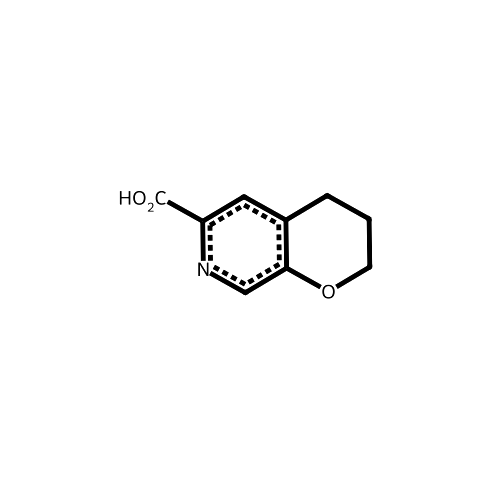 O=C(O)c1cc2c(cn1)OCCC2